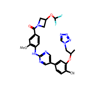 COc1cc(C(=O)N2CC(OC(F)F)C2)ccc1Nc1ncc(-c2ccc(C#N)c(OC(C)Cn3cnnn3)c2)cn1